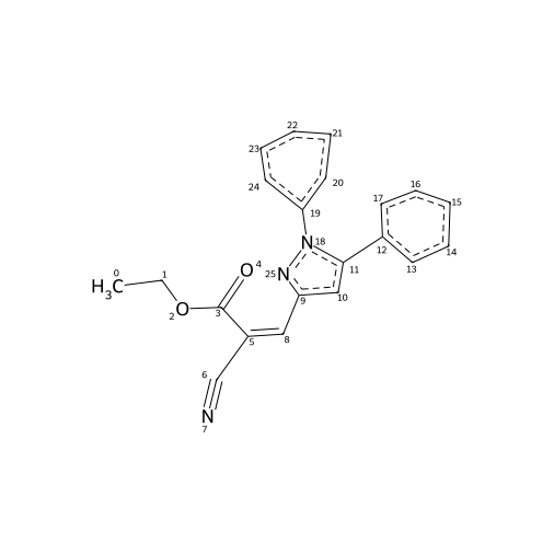 CCOC(=O)/C(C#N)=C\c1cc(-c2ccccc2)n(-c2ccccc2)n1